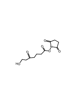 O=C(CCO)CCCC(=O)ON1C(=O)CCC1=O